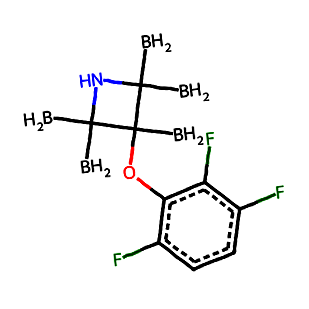 BC1(B)NC(B)(B)C1(B)Oc1c(F)ccc(F)c1F